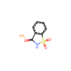 O=C1NS(=O)(=O)c2ccccc21.P